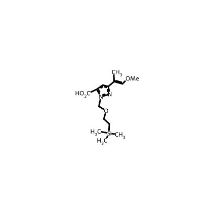 CO/C=C(\C)c1cc(C(=O)O)n(COCC[Si](C)(C)C)n1